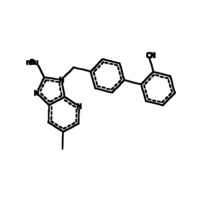 CCCCc1nc2cc(C)cnc2n1Cc1ccc(-c2ccccc2C#N)cc1